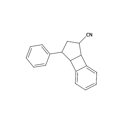 N#CC1CC(c2ccccc2)C2c3ccccc3C12